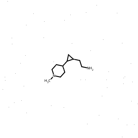 CN1CCC(C2CC2CCN)CC1